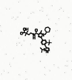 Cc1c(C(=O)NCCC(C)(C)C(=O)O)cc(-c2ccc(-c3ccnn3C(C)C)c(C(C)(C)C)c2)n1CC1CCCCC1